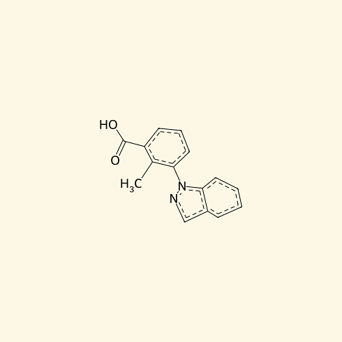 Cc1c(C(=O)O)cccc1-n1ncc2ccccc21